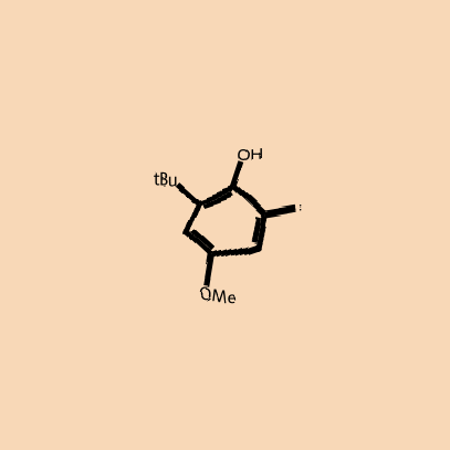 [CH]c1cc(OC)cc(C(C)(C)C)c1O